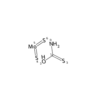 NC(O)=S.[S]=[Mo]=[S]